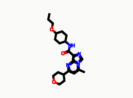 CCCOC1CCC(NC(=O)c2ncn3c(C)cc(C4CCOCC4)nc23)CC1